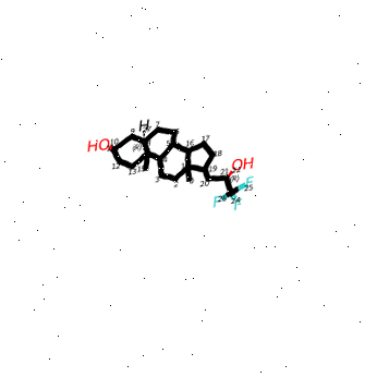 CC12CCC3C(CC[C@@H]4CC(O)CCC34C)C1CCC2C[C@@H](O)C(F)(F)F